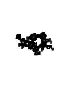 Cc1cc2cc(c1F)[C@H](CC(=O)O)NC(=O)[C@@H](n1cc(CCN3CCC3)c(C(F)(F)F)cc1=O)c1cc(ccc1F)Oc1cccc(C)c1-2